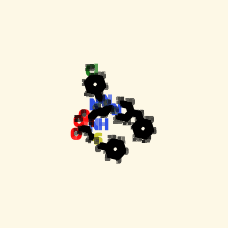 O=C(N[C@@H](CSCc1ccccc1)C(=O)O)c1cc(N2CCC(Cc3ccccc3)CC2)nc(-c2ccc(Cl)cc2)n1